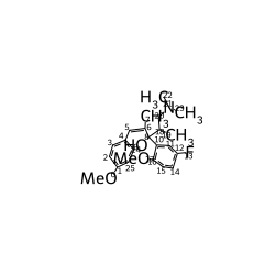 COc1ccc(C=C(C)C(O)(c2cc(F)ccc2OC)C(C)CN(C)C)cc1